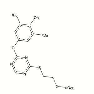 CCCCCCCCSCCSc1ncnc(Oc2cc(C(C)(C)C)c(O)c(C(C)(C)C)c2)n1